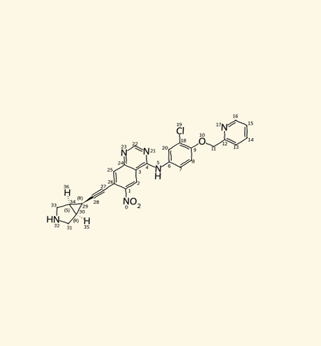 O=[N+]([O-])c1cc2c(Nc3ccc(OCc4ccccn4)c(Cl)c3)ncnc2cc1C#C[C@H]1[C@H]2CNC[C@@H]12